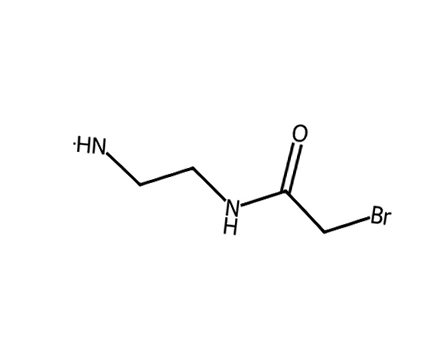 [NH]CCNC(=O)CBr